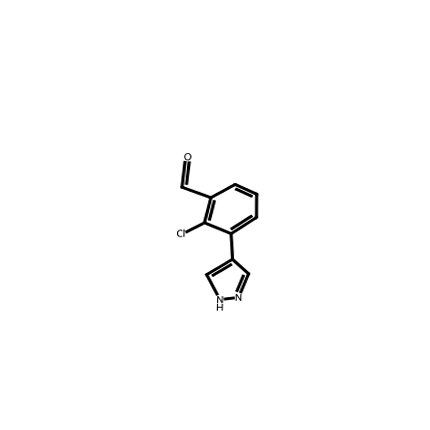 O=Cc1cccc(-c2cn[nH]c2)c1Cl